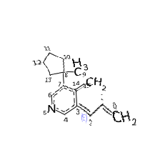 C=C/C=c1/cncc(C2(C)CCCC2)c1=C